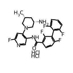 C[C@@H]1C[C@H](N)CN(c2cc(F)ncc2NC(=O)c2ccc(F)c(-c3c(F)cccc3F)c2F)C1.Cl.Cl